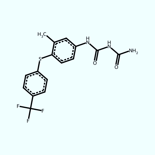 Cc1cc(NC(=O)NC(N)=O)ccc1Sc1ccc(C(F)(F)F)cc1